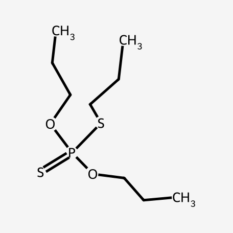 CCCOP(=S)(OCCC)SCCC